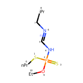 CCCSP(=S)(N/C=N/CC(C)C)OCC